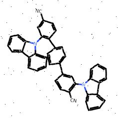 N#Cc1ccc(-c2ccc(-c3ccc(C#N)c(-n4c5ccccc5c5ccccc54)c3)cc2)c(-n2c3ccccc3c3ccccc32)c1